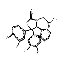 NC(=O)CN1C(=O)OC(c2ccc(F)c(F)c2)(c2ccc(F)c(F)c2)C1c1ccccc1